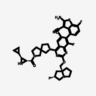 N#Cc1c(N)sc2c(F)ccc(-c3c(Cl)cc4c(N5CCC6(CCN(C(=O)[C@@H]7N[C@H]7C7CC7)C6)C5)nc(OC[C@@]56CCCN5C[C@H](F)C6)nc4c3F)c12